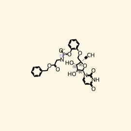 C#C[C@]1(COc2ccccc2O/[P+]([O-])=N/CC(=O)OCc2ccccc2)O[C@@H](n2ccc(=O)[nH]c2=O)[C@H](O)[C@@H]1O